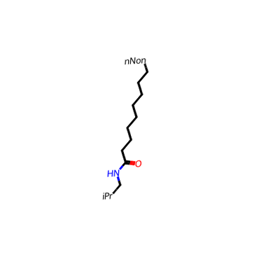 CCCCCCCCCCCCCCCCCC(=O)NCC(C)C